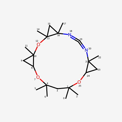 CC1(C)CC(C)(C)OC2CC2(C)OC2(C)CC2(C)N=C=NC2(C)CC2O1